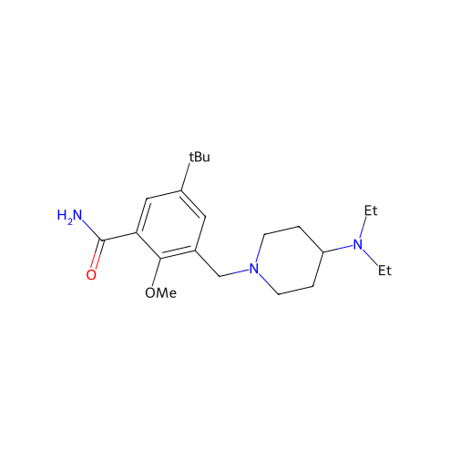 CCN(CC)C1CCN(Cc2cc(C(C)(C)C)cc(C(N)=O)c2OC)CC1